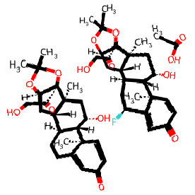 CC(=O)O.CC1(C)O[C@@H]2C[C@H]3[C@@H]4CCC5=CC(=O)C=C[C@]5(C)[C@H]4[C@@H](O)C[C@]3(C)[C@]2(C(=O)CO)O1.CC1(C)O[C@@H]2C[C@H]3[C@@H]4C[C@H](F)C5=CC(=O)C=C[C@]5(C)[C@H]4[C@@H](O)C[C@]3(C)[C@]2(C(=O)CO)O1